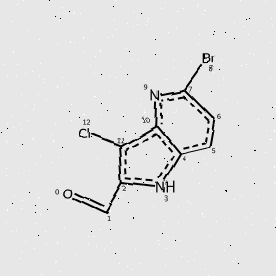 O=Cc1[nH]c2ccc(Br)nc2c1Cl